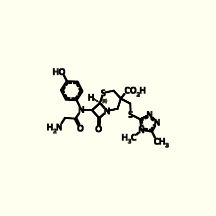 Cc1nnc(SCC2(C(=O)O)CS[C@@H]3C(N(C(=O)CN)c4ccc(O)cc4)C(=O)N3C2)n1C